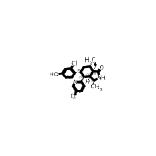 CC[C@@]12CC[C@@H](c3ccc(O)cc3Cl)[C@H](c3ccc(Cl)cn3)[C@@H]1[C@@H](C)NC2=O